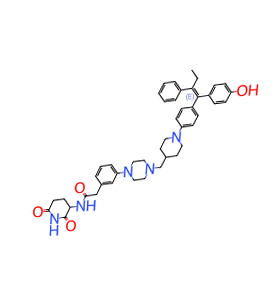 CC/C(=C(\c1ccc(O)cc1)c1ccc(N2CCC(CN3CCN(c4cccc(CC(=O)NC5CCC(=O)NC5=O)c4)CC3)CC2)cc1)c1ccccc1